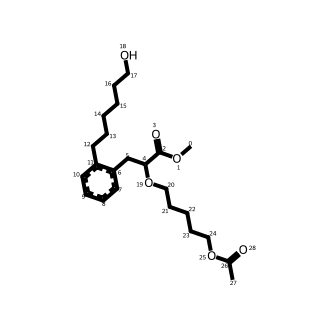 COC(=O)C(Cc1ccccc1CCCCCCO)OCCCCCOC(C)=O